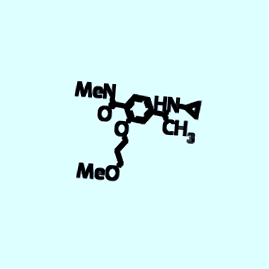 CNC(=O)c1ccc(C(C)NC2CC2)cc1OCCCOC